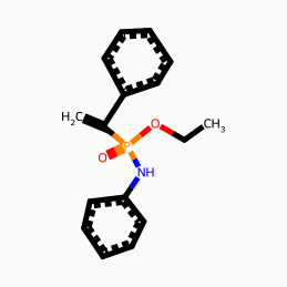 C=C(c1ccccc1)P(=O)(Nc1ccccc1)OCC